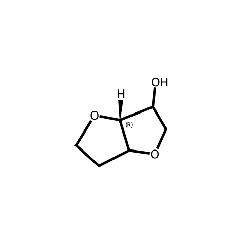 OC1COC2CCO[C@H]12